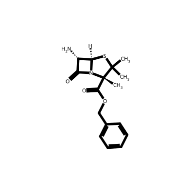 CC1(C)S[C@@H]2[C@@H](N)C(=O)N2[C@@]1(C)C(=O)OCc1ccccc1